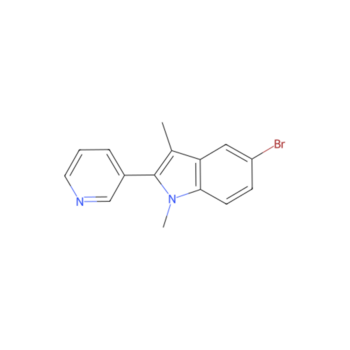 Cc1c(-c2cccnc2)n(C)c2ccc(Br)cc12